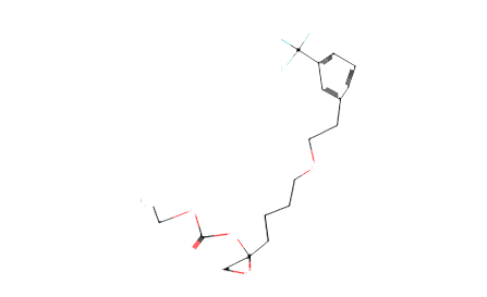 CCOC(=O)OC1(CCCCOCCc2cccc(C(F)(F)F)c2)CO1